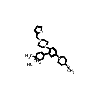 COC1CCN(c2ccc(N3CCN(Cc4ccco4)CC3)c(C3=CCC(C)(C)CC3)c2)CC1.Cl